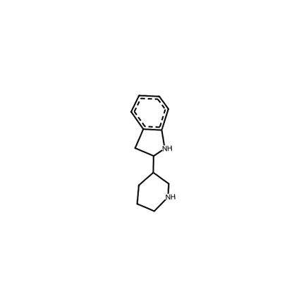 c1ccc2c(c1)CC(C1CCCNC1)N2